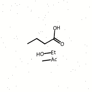 CC(C)=O.CCCC(=O)O.CCO